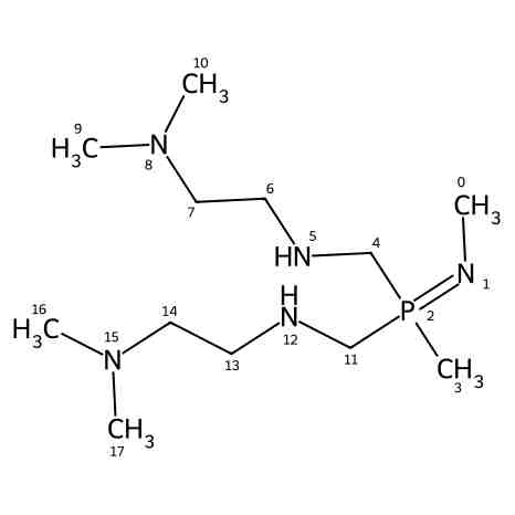 CN=P(C)(CNCCN(C)C)CNCCN(C)C